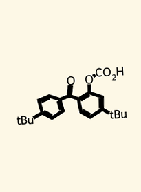 CC(C)(C)c1ccc(C(=O)c2ccc(C(C)(C)C)cc2OC(=O)O)cc1